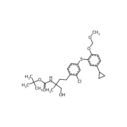 COCOc1ccc(C2CC2)cc1Sc1ccc(CCC(C)(CO)NC(=O)OC(C)(C)C)c(Cl)c1